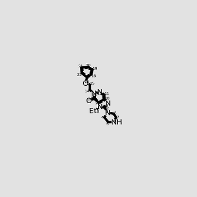 CCn1c(N2CCNCC2)nc2cnn(CCOc3ccccc3)c(=O)c21